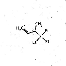 C=C[C@H](C)[Si](CC)(CC)CC